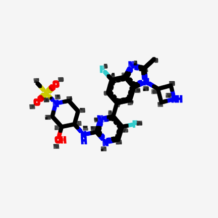 Cc1nc2c(F)cc(-c3nc(NC4CCN(S(C)(=O)=O)CC4O)ncc3F)cc2n1C1CNC1